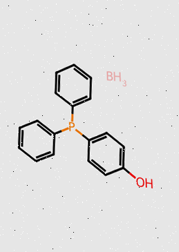 B.Oc1ccc(P(c2ccccc2)c2ccccc2)cc1